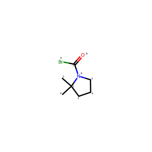 CC1(C)CCCN1C(=O)Br